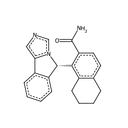 NC(=O)c1ccc2c(c1[C@@H]1c3ccccc3-c3cncn31)CCCC2